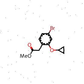 COC(=O)Cc1ccc(Br)cc1OC1CC1